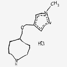 Cl.Cn1cc(OC2CCNCC2)cn1